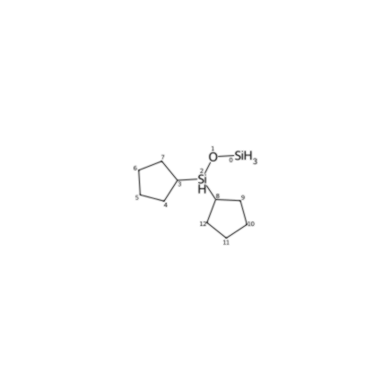 [SiH3]O[SiH](C1CCCC1)C1CCCC1